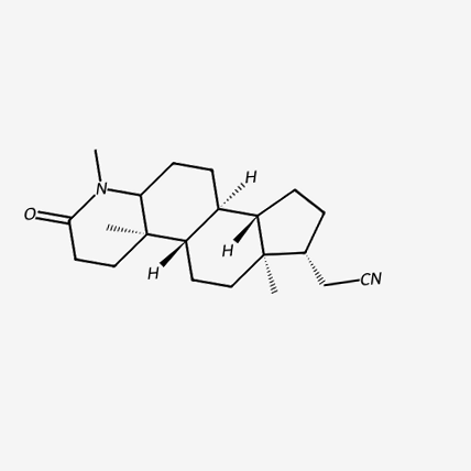 CN1C(=O)CC[C@@]2(C)C1CC[C@H]1[C@@H]3CC[C@H](CC#N)[C@@]3(C)CC[C@@H]12